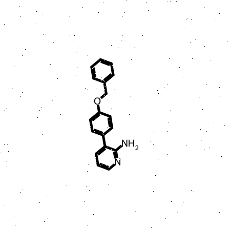 Nc1ncccc1-c1ccc(OCc2ccccc2)cc1